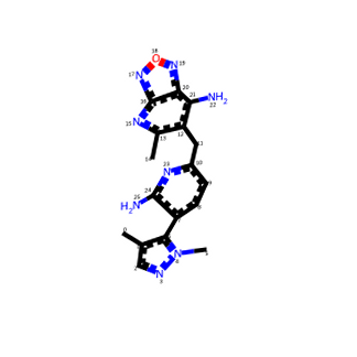 Cc1cnn(C)c1-c1ccc(Cc2c(C)nc3nonc3c2N)nc1N